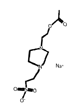 CC(=O)OCCN1CCN(CCS(=O)(=O)[O-])CC1.[Na+]